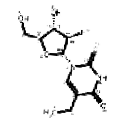 CCc1cn([C@@H]2O[C@@H](CO)[C@H](O)[C@H]2F)c(=O)[nH]c1=O